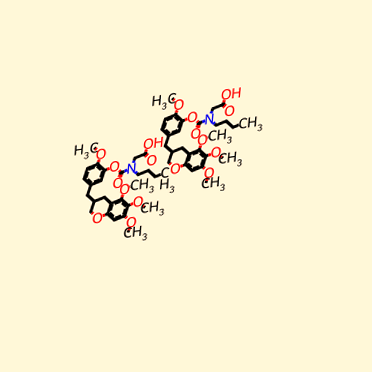 CCCCN(CC(=O)O)C(=O)Oc1cc(CC2COc3cc(OC)c(OC)c(OC)c3C2)ccc1OC.CCCCN(CC(=O)O)C(=O)Oc1cc(CC2COc3cc(OC)c(OC)c(OC)c3C2)ccc1OC